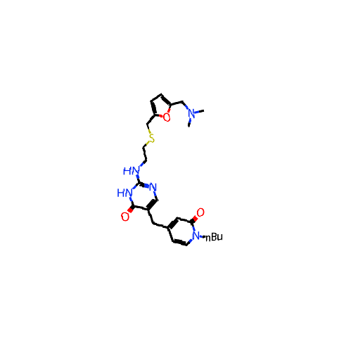 CCCCn1ccc(Cc2cnc(NCCSCc3ccc(CN(C)C)o3)[nH]c2=O)cc1=O